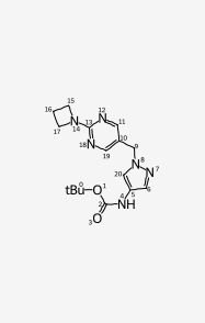 CC(C)(C)OC(=O)Nc1cnn(Cc2cnc(N3CCC3)nc2)c1